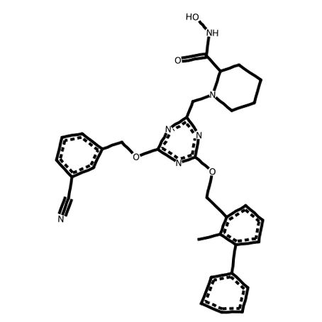 Cc1c(COc2nc(CN3CCCCC3C(=O)NO)nc(OCc3cccc(C#N)c3)n2)cccc1-c1ccccc1